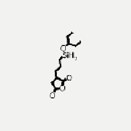 CCC(CC)O[SiH2]CCCC1CC(=O)OC1=O